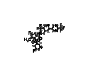 C[C@H]1[C@H](F)C[C@@H](C(=O)NCc2cc(-c3cnc(C(F)(F)F)nc3)ncc2C(F)(F)F)N1S(=O)(=O)c1cncc(F)c1